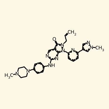 C=CCn1c(=O)c2cnc(Nc3ccc(N4CCN(C)CC4)cc3)nc2n1-c1cccc(-c2cnn(C)c2)n1